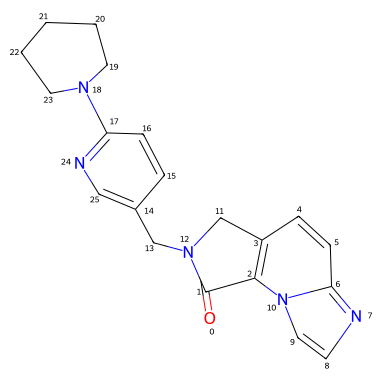 O=C1c2c(ccc3nccn23)CN1Cc1ccc(N2CCCCC2)nc1